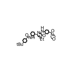 CCn1cc(-c2cccc(NC(=O)c3ccc(C(C)(C)C)cc3)c2C)nc(Nc2ccc(C(=O)N3CCOCC3)cc2)c1=O